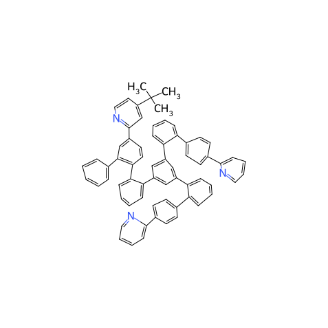 CC(C)(C)c1ccnc(-c2ccc(-c3ccccc3-c3cc(-c4ccccc4-c4ccc(-c5ccccn5)cc4)cc(-c4ccccc4-c4ccc(-c5ccccn5)cc4)c3)c(-c3ccccc3)c2)c1